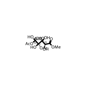 COC(=O)[C@@H](O)[C@@](O)(OC(C)=O)[C@](O)(OC(C)=O)[C@](O)(C=O)OC(C)=O